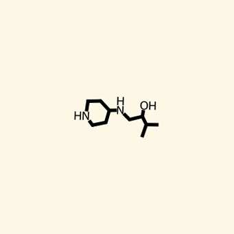 CC(C)C(O)CNC1CCNCC1